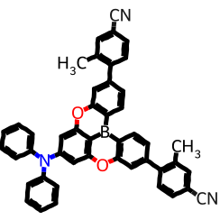 Cc1cc(C#N)ccc1-c1ccc2c(c1)Oc1cc(N(c3ccccc3)c3ccccc3)cc3c1B2c1ccc(-c2ccc(C#N)cc2C)cc1O3